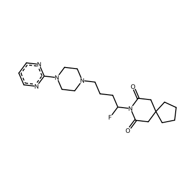 O=C1CC2(CCCC2)CC(=O)N1C(F)CCCN1CCN(c2ncccn2)CC1